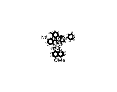 CCOc1ccc(C)cc1C1(N2CCN(c3ccncc3)CC2)C(=O)N(S(=O)(=O)c2ccc(OC)c3cccnc23)c2ccc(C#N)cc21